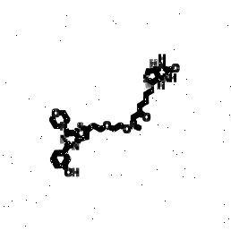 CN(CC(=O)CCCC[C@@H]1SC[C@@H]2NC(=O)N[C@@H]21)OCCOCCc1cc2nc(-c3cccc(O)c3)nc(N3CCOCC3)c2s1